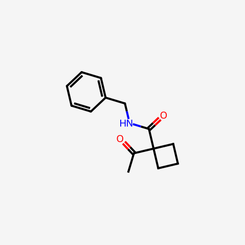 CC(=O)C1(C(=O)NCc2ccccc2)CCC1